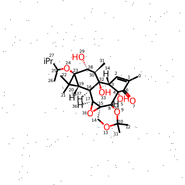 CC1=C[C@@H]2[C@@](O)(C1=O)[C@@H]1OC(C)(C)OC[C@@]13O[C@H]3[C@H]1[C@@H]3C(C)(C)[C@]3(OC(C)C(C)C)[C@H](O)[C@@H](C)[C@@]12O